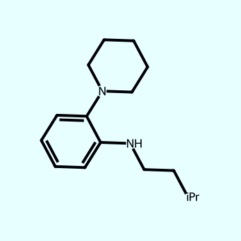 CC(C)CCNc1ccccc1N1CCCCC1